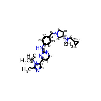 Cc1ncc(-c2ccnc(Nc3ccc(CN4CC[C@H](N(C)CC5CC5)C4)cc3)n2)n1C(C)C